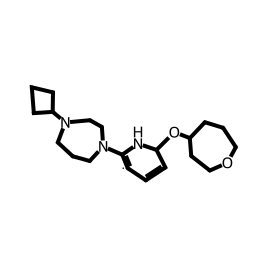 [C]1=C(N2CCCN(C3CCC3)CC2)NC(OC2CCCOCC2)C=C1